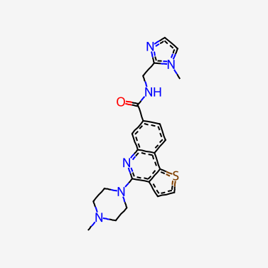 CN1CCN(c2nc3cc(C(=O)NCc4nccn4C)ccc3c3sccc23)CC1